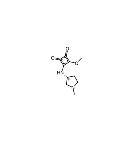 COc1c(N[C@@H]2CCN(C)C2)c(=O)c1=O